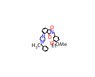 CCOc1cc(CN2C(=O)c3cccc(N4CCN(C(C)c5ccccc5)CC4)c3C2=O)ccc1OC